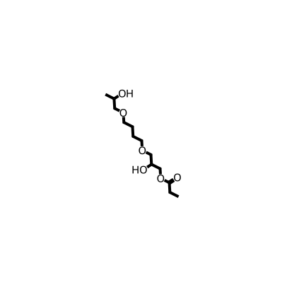 CCC(=O)OCC(O)COCCCCOCC(C)O